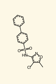 Cc1onc(NS(=O)(=O)c2ccc(-c3ccccc3)cc2)c1Cl